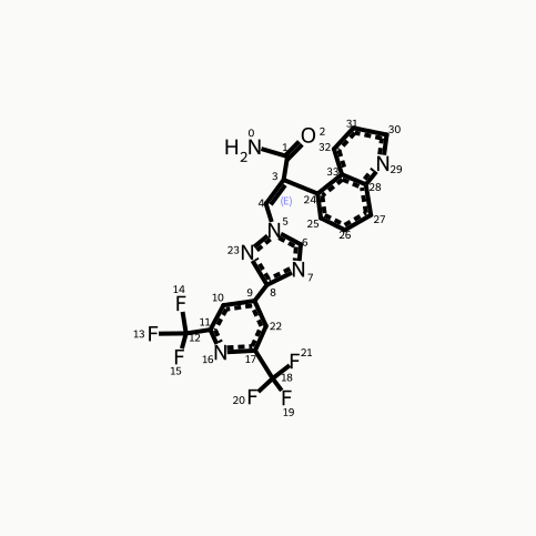 NC(=O)/C(=C/n1cnc(-c2cc(C(F)(F)F)nc(C(F)(F)F)c2)n1)c1cccc2ncccc12